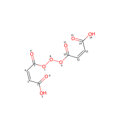 O=C(O)/C=C\C(=O)OOOC(=O)/C=C\C(=O)O